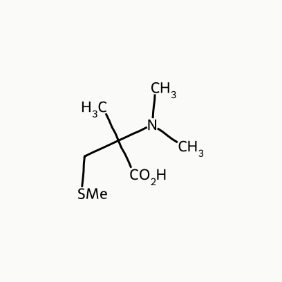 CSCC(C)(C(=O)O)N(C)C